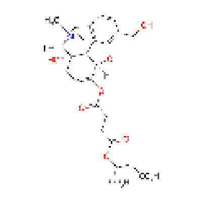 CN1CC[C@]23c4c5ccc(CO)c4O[C@H]2C(OC(=O)CCC(=O)O[C@H](CC(=O)O)C(=O)O)=CC[C@@]3(O)[C@H]1C5